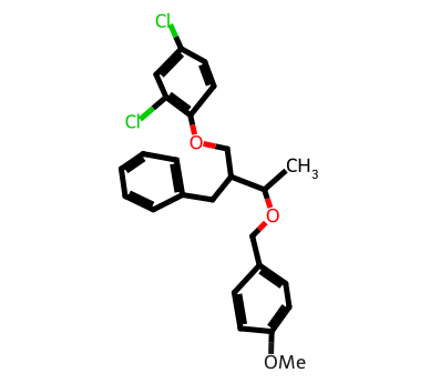 COc1ccc(COC(C)C(COc2ccc(Cl)cc2Cl)Cc2ccccc2)cc1